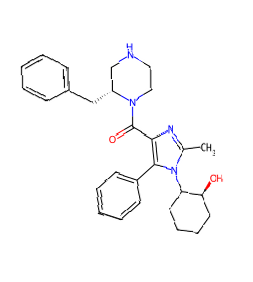 Cc1nc(C(=O)N2CCNC[C@H]2Cc2ccccc2)c(-c2ccccc2)n1C1CCCC[C@@H]1O